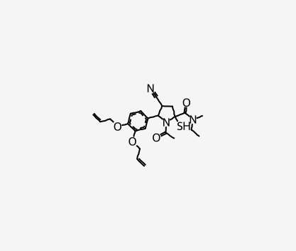 C=CCOc1ccc(C2C(C#N)CC(S)(C(=O)N(C)CC)N2C(C)=O)cc1OCC=C